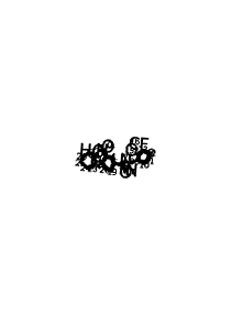 O=[N+](O)c1cc(-c2nc(-c3ccccc3OC(F)(F)F)no2)ccc1N1CCCCCC1